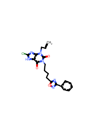 C=CCn1c(=O)n(CCCCc2nc(-c3ccccc3)no2)c(=O)c2[nH]c(Cl)nc21